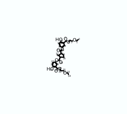 CCOCCOC(=O)c1cc(OC(=O)C2CCC(C(=O)Oc3ccc(O)c(C(=O)OCCOCC)c3)C2C)ccc1O